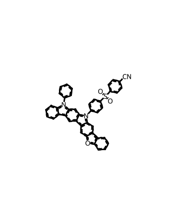 N#Cc1ccc(S(=O)(=O)c2ccc(-n3c4cc5c(cc4c4cc6c7ccccc7n(-c7ccccc7)c6cc43)oc3ccccc35)cc2)cc1